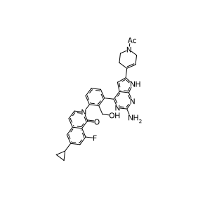 CC(=O)N1CC=C(c2cc3c(-c4cccc(-n5ccc6cc(C7CC7)cc(F)c6c5=O)c4CO)nc(N)nc3[nH]2)CC1